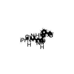 CC(C)C(=O)Nc1cncc(-c2cnc3[nH]nc(-c4cc5c(-c6ccoc6)cccc5[nH]4)c3c2)c1